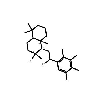 Cc1cc(C(O)C[C@@H]2[C@@]3(C)CCCC(C)(C)C3CC[C@@]2(C)O)c(C)c(C)c1C